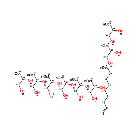 C=CCCCCCCCCCCCCCCCC.CCCCCCCCC(O)CO.CCCCCCCCC(O)CO.CCCCCCCCC(O)CO.CCCCCCCCC(O)CO.CCCCCCCCC(O)CO.CCCCCCCCC(O)CO.CCCCCCCCC(O)CO.CCCCCCCCC(O)CO